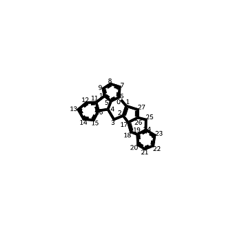 CC1=C(CC2c3ccccc3-c3ccccc32)C2=Cc3ccccc3CC2=C1